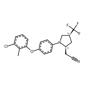 Cc1c(Cl)cccc1Oc1ccc(N2C[C@@H](C(F)(F)F)C[C@H]2CC#N)cc1